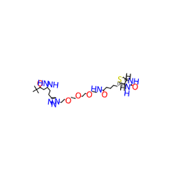 CC(C)(C)C(=O)CC1(CCc2cn(CCOCCOCCOCCNC(=O)CCCC[C@@H]3SC[C@@H]4NC(=O)N[C@@H]43)nn2)NN1